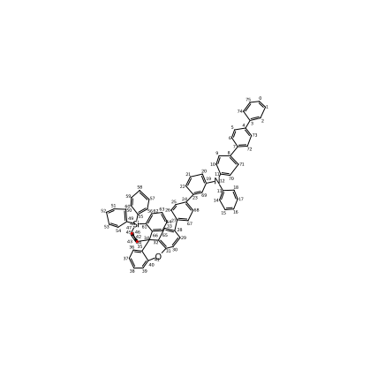 c1ccc(-c2ccc(-c3ccc(N(c4ccccc4)c4cccc(-c5ccc(-c6ccc7c(c6)C6(c8ccccc8O7)c7ccccc7[Si](c7ccccc7)(c7ccccc7)c7ccccc76)cc5)c4)cc3)cc2)cc1